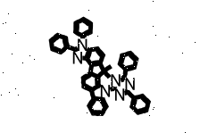 CC1(C)c2ccc3c(nc(-c4ccccc4)n3-c3ccccc3)c2-c2ccc3c4ccccc4n(-c4nc(-c5ccccc5)nc(-c5ccccc5)n4)c3c21